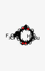 CC[C@H](C)[C@@H]1NC(=O)[C@H](C)N(C)C(=O)C[C@@H](C)N(C)C(=O)[C@H](C2CCC2)N(C)C(=O)C(C)(C)N(C)C(=O)CN(c2ccccc2)C(=O)[C@H](CCc2ccc(C(F)(F)F)c(Cl)c2)NC(=O)CN(C)C(=O)[C@H](C2CCC2)N(C)C(=O)[C@@H]2CCN2C(=O)[C@H](C)N(C)C1=O